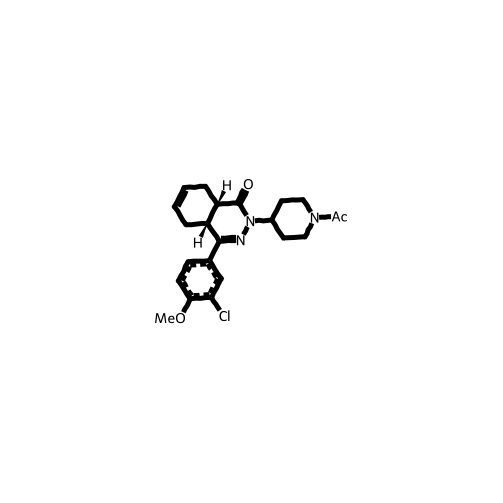 COc1ccc(C2=NN(C3CCN(C(C)=O)CC3)C(=O)[C@H]3CC=CC[C@@H]23)cc1Cl